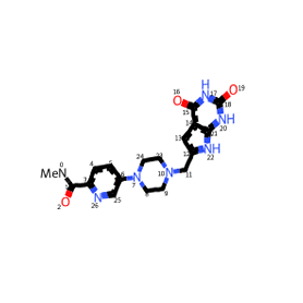 CNC(=O)c1ccc(N2CCN(Cc3cc4c(=O)[nH]c(=O)[nH]c4[nH]3)CC2)cn1